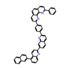 c1ccc(-c2ccc3ccc4ccc(-c5ccc(-c6ccc7ccc(-c8ccc9c(-c%10ccc%11ccccc%11c%10)cccc9n8)cc7n6)cc5)nc4c3n2)cc1